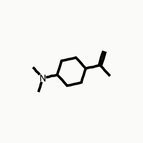 C=C(C)C1CCC(N(C)C)CC1